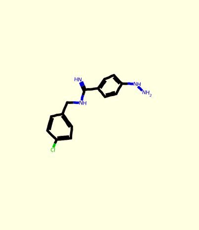 N=C(NCc1ccc(Cl)cc1)c1ccc(NN)cc1